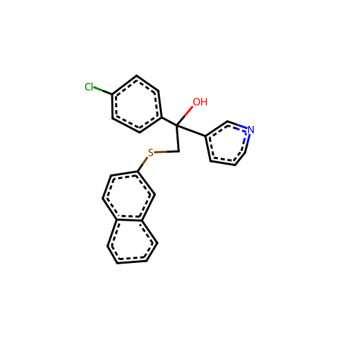 OC(CSc1ccc2ccccc2c1)(c1ccc(Cl)cc1)c1cccnc1